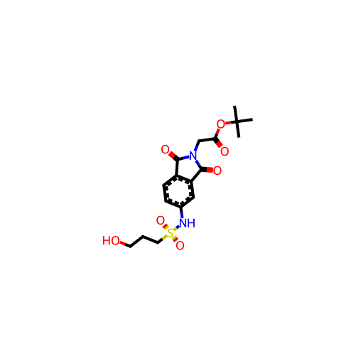 CC(C)(C)OC(=O)CN1C(=O)c2ccc(NS(=O)(=O)CCCO)cc2C1=O